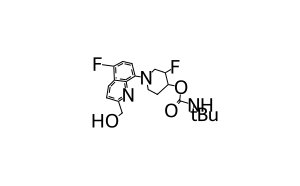 CC(C)(C)NC(=O)OC1CCN(c2ccc(F)c3ccc(CO)nc23)CC1F